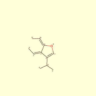 C/C=c1/c(C(C)C)co/c1=C/C